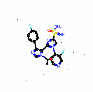 CC(C)n1cnc(-c2ccc(F)cc2)c1-c1nc(S(=N)(N)=O)cn1-c1ccncc1F